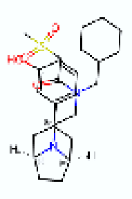 CS(=O)(=O)CC(=O)N(CCN1[C@@H]2CC[C@H]1C[C@@H](c1cccc(O)c1)C2)CC1CCCCC1